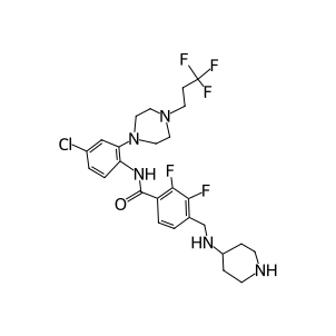 O=C(Nc1ccc(Cl)cc1N1CCN(CCC(F)(F)F)CC1)c1ccc(CNC2CCNCC2)c(F)c1F